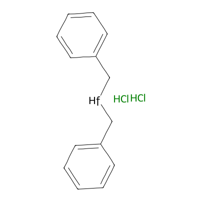 Cl.Cl.c1ccc([CH2][Hf][CH2]c2ccccc2)cc1